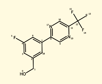 OCc1cc(F)cc(-c2cnc(C(F)(F)F)cn2)c1